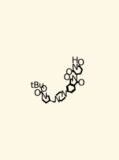 CC(C)(C)OC(=O)N1CC[C@H](CN2CCN(c3ccc4c(c3)C(=O)N(C3CCC(=O)NC3=O)C4=O)CC2)C1